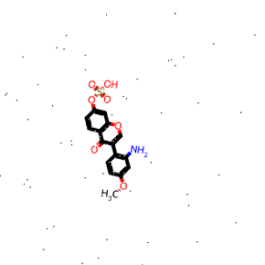 COc1ccc(-c2coc3cc(OS(=O)(=O)O)ccc3c2=O)c(N)c1